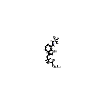 CC(C)(Cc1c[nH]c2c(/C=C/S(C)(=O)=O)cccc12)NC(=O)OC(C)(C)C